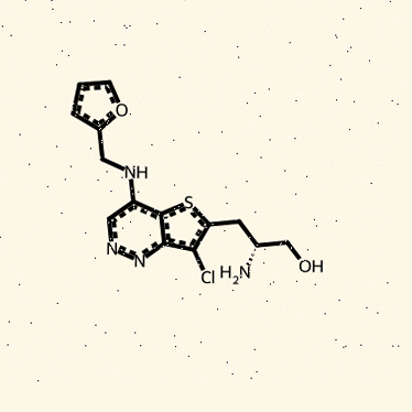 N[C@@H](CO)Cc1sc2c(NCc3ccco3)cnnc2c1Cl